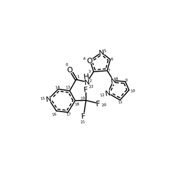 O=C(Nc1oncc1-n1cccn1)c1cnccc1C(F)(F)F